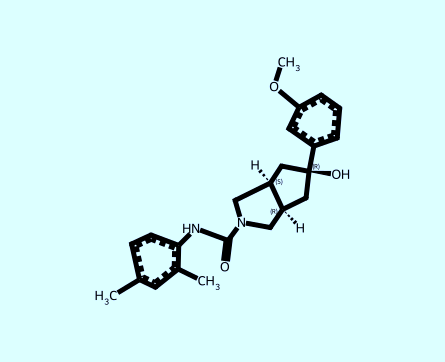 COc1cccc([C@]2(O)C[C@H]3CN(C(=O)Nc4ccc(C)cc4C)C[C@H]3C2)c1